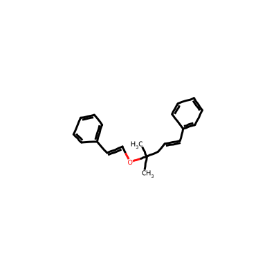 CC(C)(CC=Cc1ccccc1)OC=Cc1ccccc1